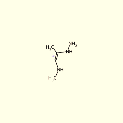 CN/C=C(/C)NN